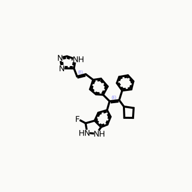 FC1NNc2ccc(/C(=C(/c3ccccc3)C3CCC3)c3ccc(/C=C/c4nnc[nH]4)cc3)cc21